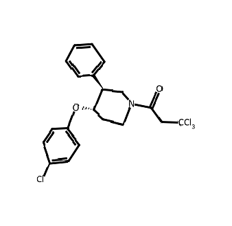 O=C(CC(Cl)(Cl)Cl)N1CC[C@H](Oc2ccc(Cl)cc2)[C@@H](c2ccccc2)C1